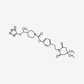 CC(Sc1nnn[nH]1)C1CCN(C(=O)Oc2ccc(CCN3C(=O)CC(C)(C)CC3=O)cc2)CC1